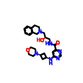 O=C(NC[C@H](O)CN1CCc2ccccc2C1)c1cc(N[C@H]2C[C@@H](N3CCOCC3)C2)ncn1